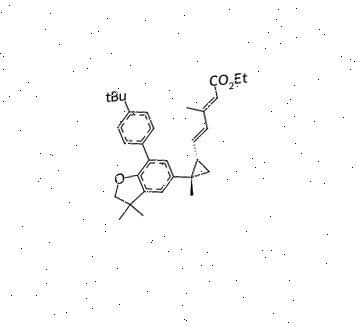 CCOC(=O)/C=C(C)/C=C/[C@@H]1C[C@]1(C)c1cc(-c2ccc(C(C)(C)C)cc2)c2c(c1)C(C)(C)CO2